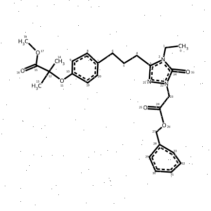 CCn1c(CCCc2ccc(OC(C)(C)C(=O)OC)cc2)nn(CC(=O)OCc2ccccc2)c1=O